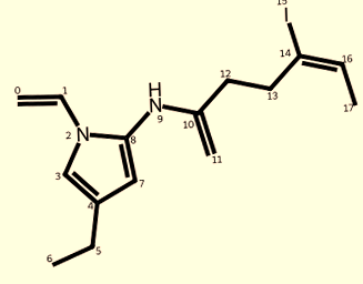 C=Cn1cc(CC)cc1NC(=C)CC/C(I)=C\C